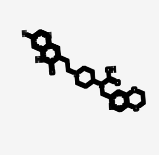 O=C(O)N(Cc1cc2c(cn1)OCCO2)C1CCN(CCc2cc3ncc(F)cc3[nH]c2=O)CC1